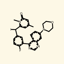 Cc1cc(C(I)c2ccc(F)c(-c3ncnc4cc(N5CCOCC5)ccc34)c2)n(C)c(=O)c1